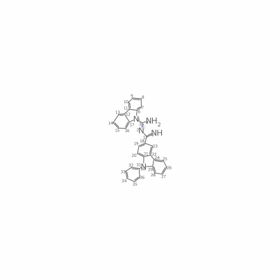 N=C(/N=C(\N)n1c2ccccc2c2ccccc21)c1ccc2c(c1)c1ccccc1n2-c1ccccc1